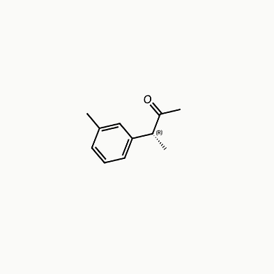 CC(=O)[C@H](C)c1cccc(C)c1